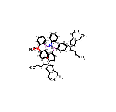 CCCC[Si](CCCC)(CCCC)c1ccc(P(c2ccc([Si](CCCC)(CCCC)CCCC)cc2)N(c2ccccc2)P(c2ccccc2OC)c2ccccc2OC)cc1